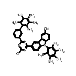 Bc1c(B)c(B)c(-c2cccc(-c3nc(Cl)nc(-c4ccc5c(c4)c4cc(C#N)ccc4n5-c4c(B)c(B)c(B)c(B)c4B)n3)c2)c(B)c1B